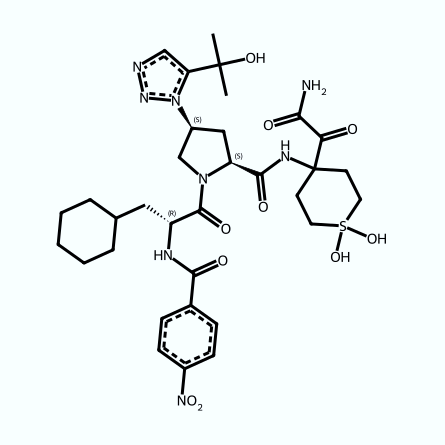 CC(C)(O)c1cnnn1[C@H]1C[C@@H](C(=O)NC2(C(=O)C(N)=O)CCS(O)(O)CC2)N(C(=O)[C@@H](CC2CCCCC2)NC(=O)c2ccc([N+](=O)[O-])cc2)C1